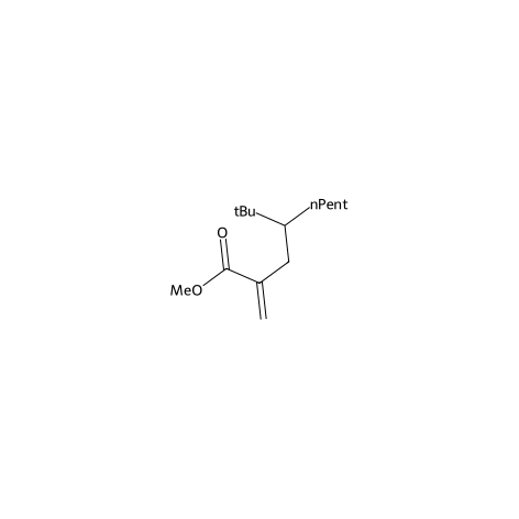 C=C(CC(CCCCC)C(C)(C)C)C(=O)OC